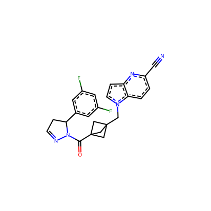 N#Cc1ccc2c(ccn2CC23CC(C(=O)N4N=CCC4c4cc(F)cc(F)c4)(C2)C3)n1